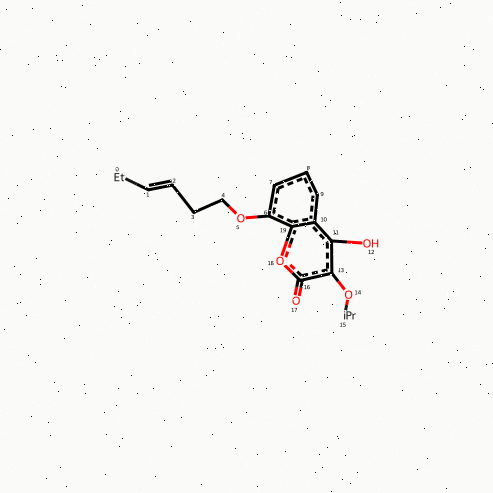 CCC=CCCOc1cccc2c(O)c(OC(C)C)c(=O)oc12